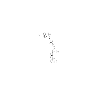 CN(C)C[C@@H]1CN(c2ccc3c(c2)C(=O)N(C2CCC(=O)NC2O)C3=O)CCN1CC1CCN(c2ccc(C(=O)N[C@H]3C(C)(C)[C@@H]4Oc5ccc(C#N)c6nccc(c56)C34C)cc2F)CC1